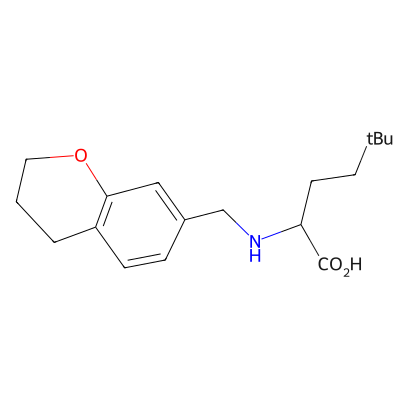 CC(C)(C)CCC(NCc1ccc2c(c1)OCCC2)C(=O)O